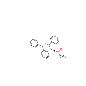 COC(=O)C(C)(C)CC(CC(c1ccccc1)c1ccccc1)c1ccccc1